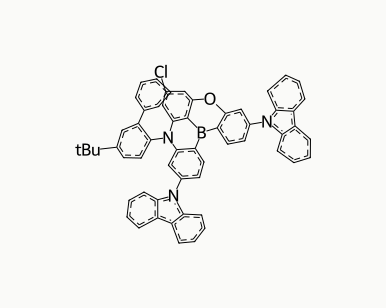 CC(C)(C)c1ccc(N2c3cc(-n4c5ccccc5c5ccccc54)ccc3B3c4ccc(-n5c6ccccc6c6ccccc65)cc4Oc4cc(Cl)cc2c43)c(-c2ccccc2)c1